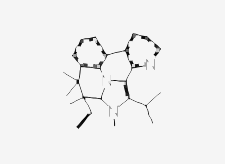 C=CC1(C)C2N(C)C(C(C)C)=C3c4ncccc4-c4cccc(c4N32)C1(C)C